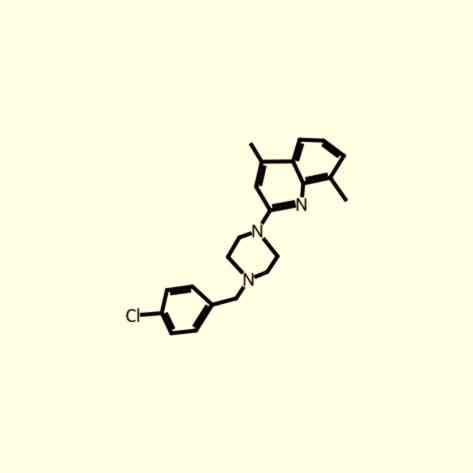 Cc1cc(N2CCN(Cc3ccc(Cl)cc3)CC2)nc2c(C)cccc12